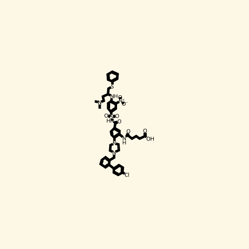 CN(C)CCC(CSc1ccccc1)Nc1ccc(S(=O)(=O)NC(=O)c2ccc(N3CCN(Cc4ccccc4-c4ccc(Cl)cc4)CC3)c(NC(=O)CCCC(=O)O)c2)cc1[N+](=O)[O-]